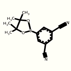 CC1(C)OB(c2cc(C#N)cc(C#N)c2)OC1(C)C